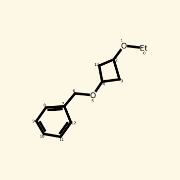 CCOC1CC(OCc2ccccc2)C1